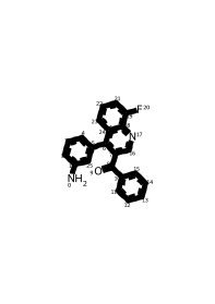 Nc1cccc(-c2c(C(=O)c3ccccc3)cnc3c(F)cccc23)c1